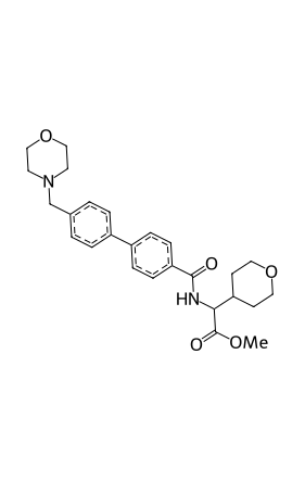 COC(=O)C(NC(=O)c1ccc(-c2ccc(CN3CCOCC3)cc2)cc1)C1CCOCC1